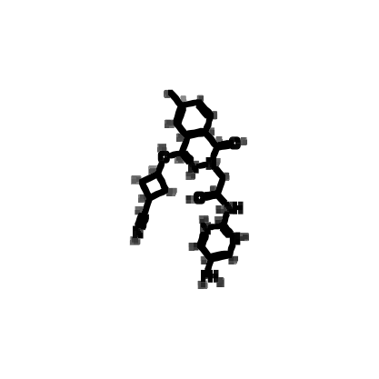 Cc1ccc2c(=O)n(CC(=O)Nc3ncc(P)cn3)nc(OC3CC(C#N)C3)c2c1